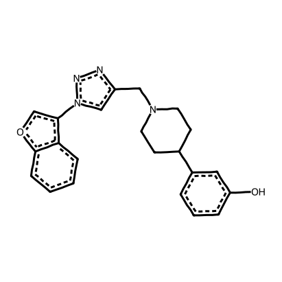 Oc1cccc(C2CCN(Cc3cn(-c4coc5ccccc45)nn3)CC2)c1